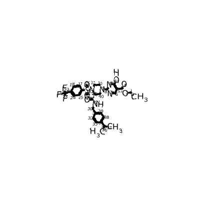 CCOC(=O)c1cnc(N2CCN(S(=O)(=O)c3ccc(C(F)(F)F)cc3)[C@@H](C(=O)NCc3ccc(C(C)C)cc3)C2)nc1O